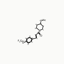 CC(=O)SC1CCN(C(=O)C=Cc2ccc(OC(F)(F)F)cc2)CC1